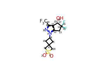 O=S1(=O)CC2(CC(n3nc(C(F)(F)F)c4c3CC(F)(F)[C@H]4O)C2)C1